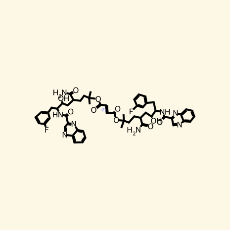 CC(C)(CCC(CC(O)C(Cc1cccc(F)c1)NC(=O)c1cnc2ccccc2n1)C(N)=O)OC(=O)/C=C/C(=O)OC(C)(C)CCC(CC(O)C(Cc1cccc(F)c1)NC(=O)c1cnc2ccccc2n1)C(N)=O